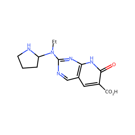 CCN(c1ncc2cc(C(=O)O)c(=O)[nH]c2n1)C1CCCN1